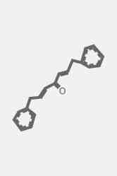 O=C(C=CCc1ccccc1)C=CCc1ccccc1